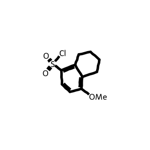 COc1ccc(S(=O)(=O)Cl)c2c1CCCC2